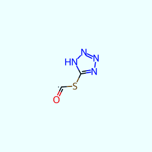 O=[C]Sc1nnn[nH]1